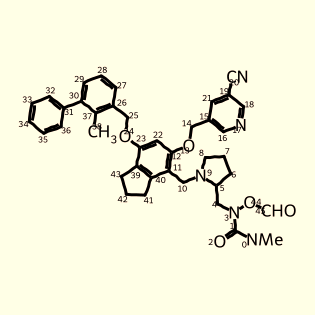 CNC(=O)N(CC1CCCN1Cc1c(OCc2cncc(C#N)c2)cc(OCc2cccc(-c3ccccc3)c2C)c2c1CCC2)OC=O